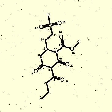 CCCC(=O)C1C(=O)CC(CCS(C)(=O)=O)C(C(=O)OC)C1=O